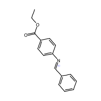 CCOC(=O)c1ccc(/N=C/c2ccccc2)cc1